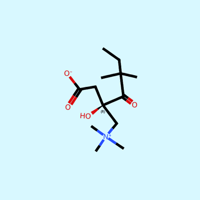 CCC(C)(C)C(=O)[C@@](O)(CC(=O)[O-])C[N+](C)(C)C